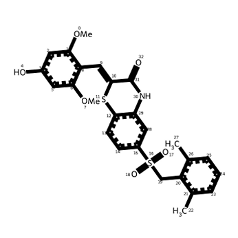 COc1cc(O)cc(OC)c1C=C1Sc2ccc(S(=O)(=O)Cc3c(C)cccc3C)cc2NC1=O